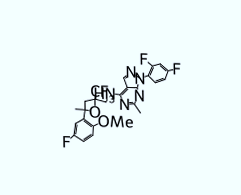 COc1ccc(F)cc1C1(C)CC(CNc2nc(C)nc3c2cnn3-c2ccc(F)cc2F)(C(F)(F)F)O1